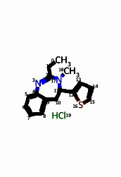 CCC1=Nc2ccccc2CC(c2cccs2)N1C.Cl